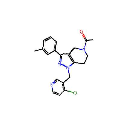 CC(=O)N1CCc2c(c(-c3cccc(C)c3)nn2Cc2cnccc2Cl)C1